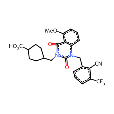 COc1cccc2c1c(=O)n(CC1CCC(C(=O)O)CC1)c(=O)n2Cc1cccc(C(F)(F)F)c1C#N